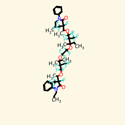 C=CCN(C(=O)C(F)(C(C)OC(F)(F)C(F)(C(F)(F)F)C(C)(C)OC(F)(F)C(F)(F)OC(C)(CC)C(F)(C(F)(F)F)C(F)(F)OC(C)C(F)(C(=O)N(CC=C)c1ccccc1)C(F)(F)F)C(F)(F)F)c1ccccc1